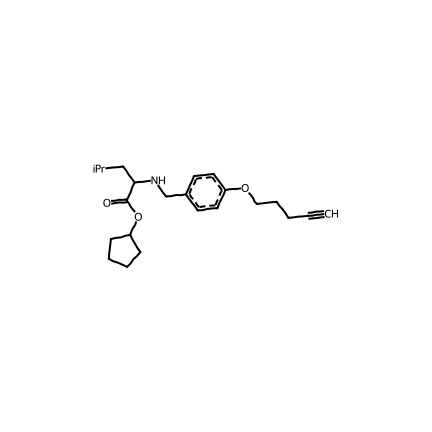 C#CCCCOc1ccc(CNC(CC(C)C)C(=O)OC2CCCC2)cc1